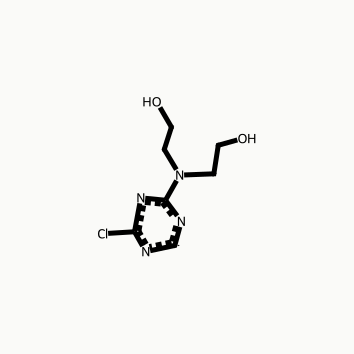 OCCN(CCO)c1n[c]nc(Cl)n1